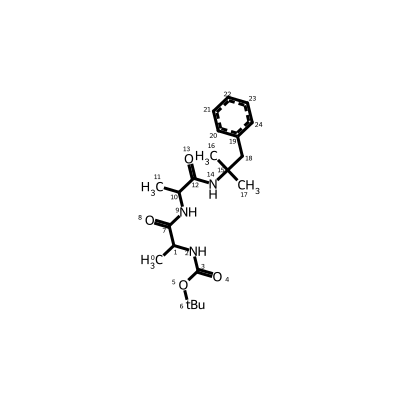 CC(NC(=O)OC(C)(C)C)C(=O)NC(C)C(=O)NC(C)(C)Cc1ccccc1